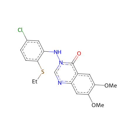 CCSc1ccc(Cl)cc1Nn1cnc2cc(OC)c(OC)cc2c1=O